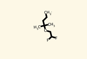 [CH2]CCC(C)(C)OCC(F)F